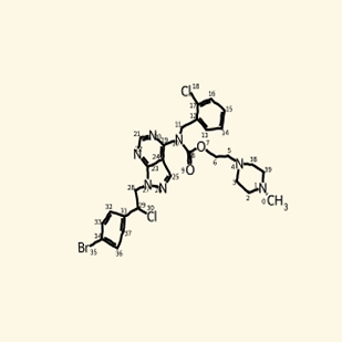 CN1CCN(CCOC(=O)N(Cc2ccccc2Cl)c2ncnc3c2cnn3CC(Cl)c2ccc(Br)cc2)CC1